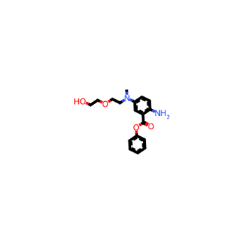 CN(CCOCCO)c1ccc(N)c(C(=O)Oc2ccccc2)c1